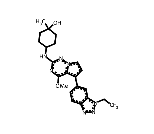 COc1nc(NC2CCC(C)(O)CC2)nn2ccc(-c3ccc4nnn(CC(F)(F)F)c4c3)c12